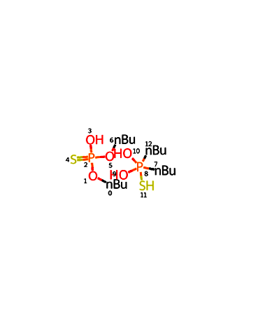 CCCCOP(O)(=S)OCCCC.CCCCP(O)(O)(S)CCCC